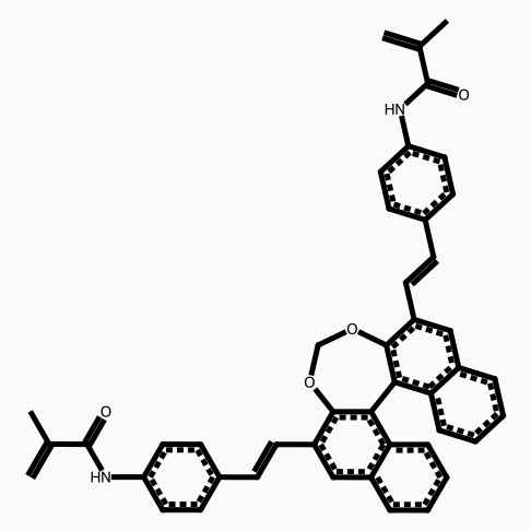 C=C(C)C(=O)Nc1ccc(/C=C/c2cc3ccccc3c3c2OCOc2c(/C=C/c4ccc(NC(=O)C(=C)C)cc4)cc4ccccc4c2-3)cc1